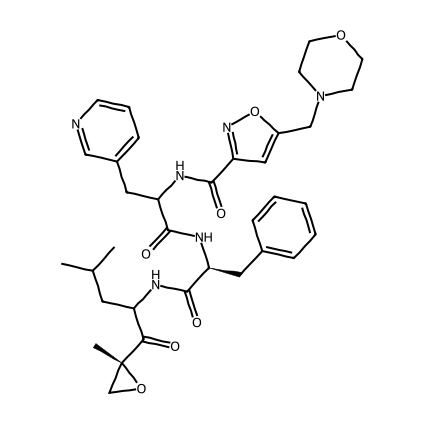 CC(C)CC(NC(=O)[C@H](Cc1ccccc1)NC(=O)C(Cc1cccnc1)NC(=O)c1cc(CN2CCOCC2)on1)C(=O)[C@@]1(C)CO1